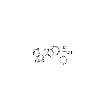 CCC(O)(c1ccccc1)c1ccc2[nH]c(-c3n[nH]c4ccsc34)cc2c1